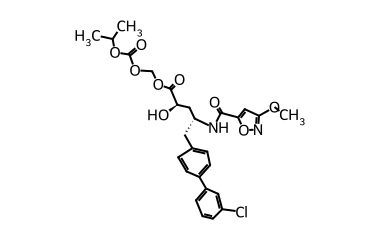 COc1cc(C(=O)N[C@H](Cc2ccc(-c3cccc(Cl)c3)cc2)C[C@@H](O)C(=O)OCOC(=O)OC(C)C)on1